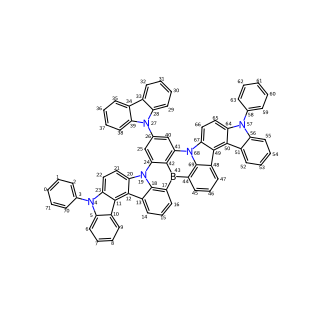 c1ccc(-n2c3ccccc3c3c4c5cccc6c5n(c4ccc32)-c2cc(-n3c4ccccc4c4ccccc43)cc3c2B6c2cccc4c5c6c7ccccc7n(-c7ccccc7)c6ccc5n-3c24)cc1